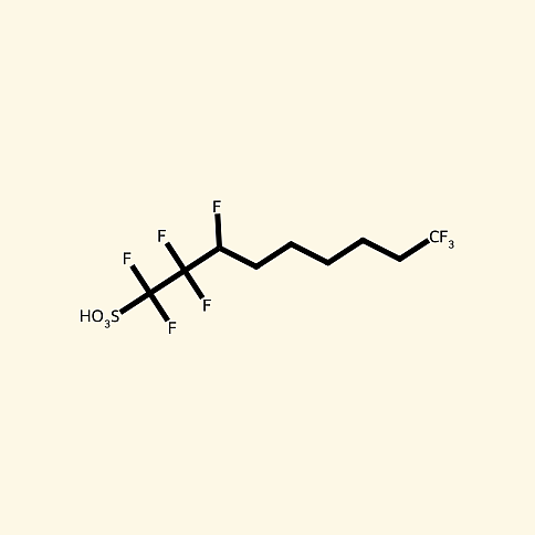 O=S(=O)(O)C(F)(F)C(F)(F)C(F)CCCCCC(F)(F)F